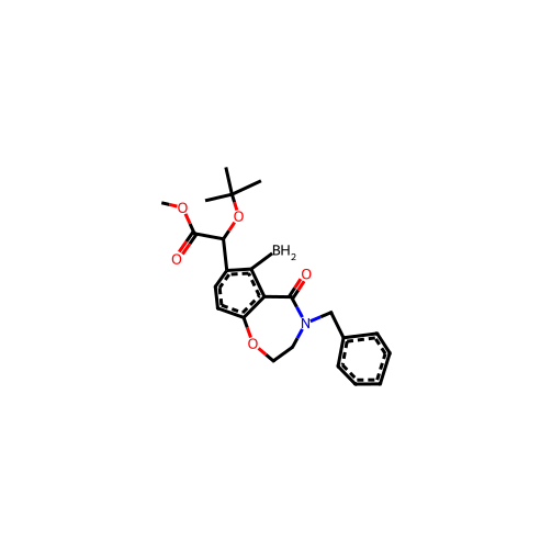 Bc1c(C(OC(C)(C)C)C(=O)OC)ccc2c1C(=O)N(Cc1ccccc1)CCO2